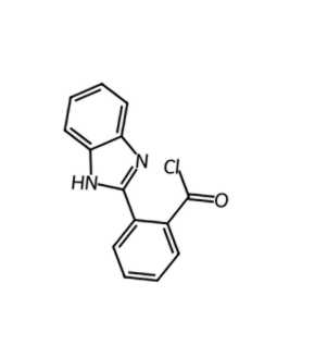 O=C(Cl)c1ccccc1-c1nc2ccccc2[nH]1